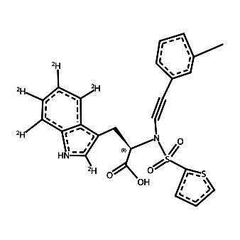 [2H]c1[nH]c2c([2H])c([2H])c([2H])c([2H])c2c1C[C@H](C(=O)O)N(C#Cc1cccc(C)c1)S(=O)(=O)c1cccs1